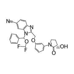 N#Cc1ccc2nc(COc3cccc(N4CC[C@H](O)C4=O)c3)n(C(OC(F)F)c3ccccc3)c2c1